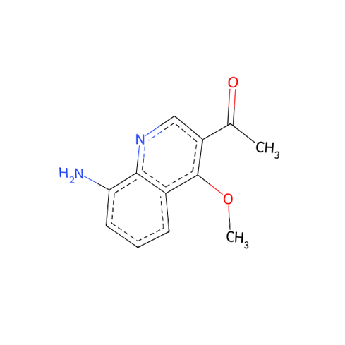 COc1c(C(C)=O)cnc2c(N)cccc12